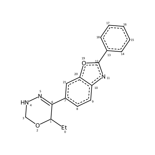 CCC1OCNN=C1c1ccc2nc(-c3ccccc3)oc2c1